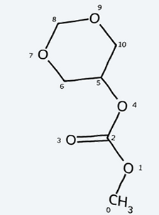 COC(=O)OC1COCOC1